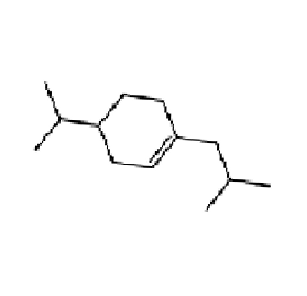 CC(C)CC1=CCC(C(C)C)CC1